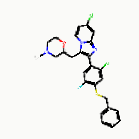 CN1CCOC(Cc2c(-c3cc(F)c(SCc4ccccc4)cc3Cl)nc3cc(Cl)ccn23)C1